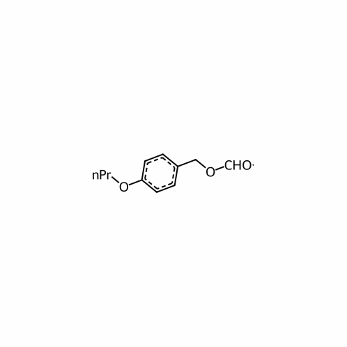 CCCOc1ccc(CO[C]=O)cc1